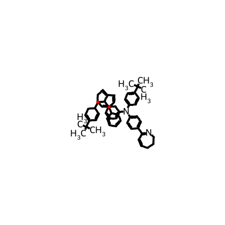 CC(C)(C)C1=CCC(CC(C2=C\CCC=C(C3C=CC=CC3)/C=C\2)C2C=CC=C(N(c3ccc(C4=NCCCC=C4)cc3)c3ccc(C(C)(C)C)cc3)C2)C=C1